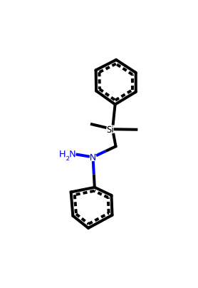 C[Si](C)(CN(N)c1ccccc1)c1ccccc1